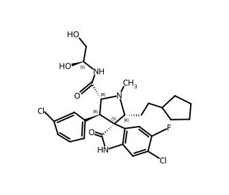 CN1[C@@H](C(=O)N[C@@H](O)CO)[C@H](c2cccc(Cl)c2)[C@@]2(C(=O)Nc3cc(Cl)c(F)cc32)[C@H]1CCC1CCCC1